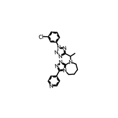 CC(c1nnn(-c2cccc(Cl)c2)n1)N1CCCCn2c(-c3ccncc3)nnc21